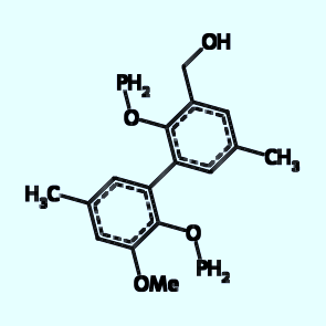 COc1cc(C)cc(-c2cc(C)cc(CO)c2OP)c1OP